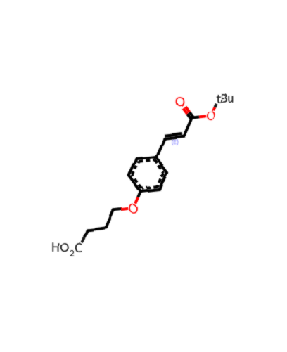 CC(C)(C)OC(=O)/C=C/c1ccc(OCCCC(=O)O)cc1